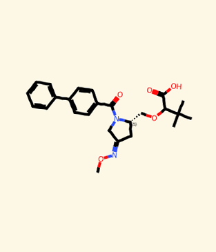 CON=C1C[C@@H](COC(C(=O)O)C(C)(C)C)N(C(=O)c2ccc(-c3ccccc3)cc2)C1